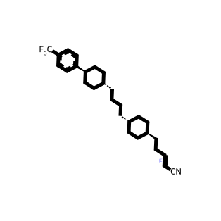 N#C/C=C/CC[C@H]1CC[C@H](CCCC[C@H]2CC[C@H](c3ccc(C(F)(F)F)cc3)CC2)CC1